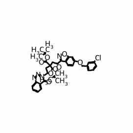 CC(C)(C)OC(=O)C(CCn1nnc2ccccc2c1=O)(CC(=O)c1noc2cc(OCc3cccc(Cl)c3)ccc12)C(=O)OC(C)(C)C